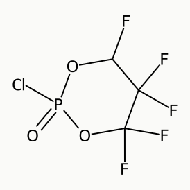 O=P1(Cl)OC(F)C(F)(F)C(F)(F)O1